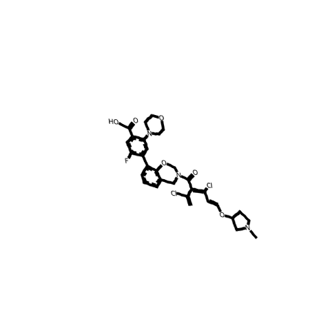 C=C(Cl)/C(C(=O)N1COc2c(cccc2-c2cc(N3CCOCC3)c(C(=O)O)cc2F)C1)=C(Cl)\C=C\OC1CCN(C)C1